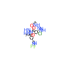 CC(C)(C)C[C@]1(c2ccc(-c3cnn(C(F)F)c3)cc2)NC(=N)N([C@H](COC(=O)NC2(C)CC2)c2ccc(Cl)c(-c3ncn[nH]3)c2)C1=O